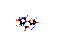 CC(=O)O[C@H]1[C@H](n2cc(C)c(=O)[nH]c2=O)O[C@@H]2C(O)C21N=[N+]=[N-]